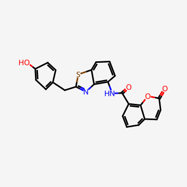 O=C(Nc1cccc2sc(Cc3ccc(O)cc3)nc12)c1cccc2ccc(=O)oc12